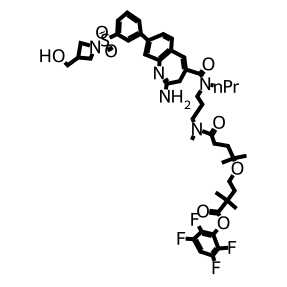 CCCN(CCCN(C)C(=O)CCC(C)(C)OCCC(C)(C)C(=O)Oc1c(F)c(F)cc(F)c1F)C(=O)C1=Cc2ccc(-c3cccc(S(=O)(=O)N4CC(CO)C4)c3)cc2N=C(N)C1